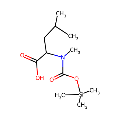 CC(C)CC(C(=O)O)N(C)C(=O)O[Si](C)(C)C